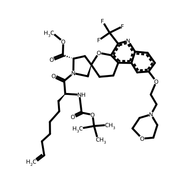 C=CCCCCC[C@H](NC(=O)OC(C)(C)C)C(=O)N1C[C@@]2(CCc3c(c(C(F)(F)F)nc4ccc(OCCN5CCOCC5)cc34)O2)C[C@H]1C(=O)OC